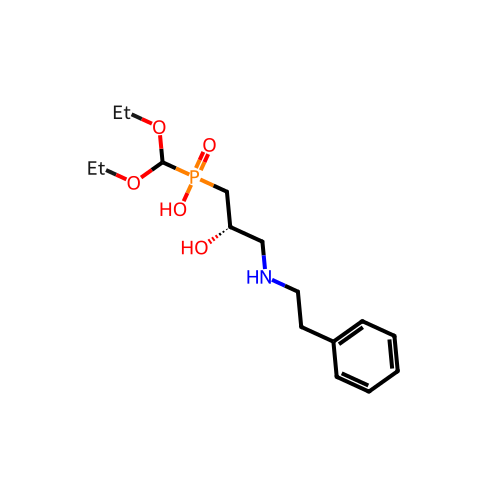 CCOC(OCC)P(=O)(O)C[C@@H](O)CNCCc1ccccc1